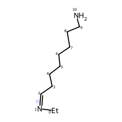 CC/N=C\CCCCCCCN